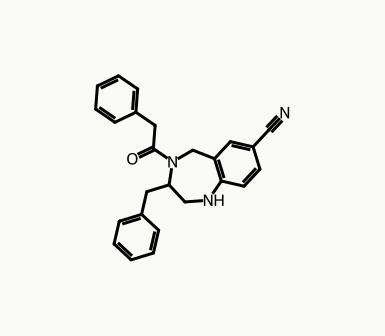 N#Cc1ccc2c(c1)CN(C(=O)Cc1ccccc1)C(Cc1ccccc1)CN2